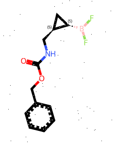 O=C(NC[C@H]1C[C@@H]1B(F)F)OCc1ccccc1